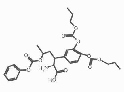 CCCOC(=O)Oc1ccc(C(CC(C)OC(=O)Oc2ccccc2)[C@H](N)C(=O)O)cc1OC(=O)OCCC